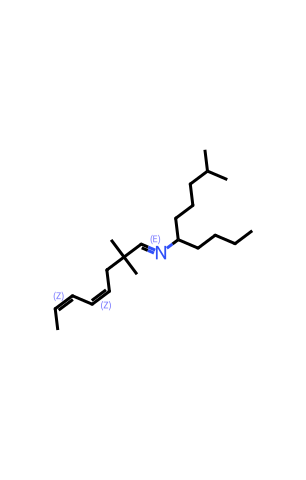 C/C=C\C=C/CC(C)(C)/C=N/C(CCCC)CCCC(C)C